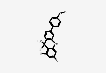 COc1ccc(-c2ccc3c(c2)Nc2cc(Cl)cc(Cl)c2C3(C)C)cc1